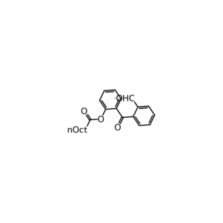 CCCCCCCCC(=O)Oc1ccccc1C(=O)c1ccccc1[C]=O